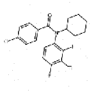 O=C(c1ccc(Cl)cc1)N(c1ccc(F)[c]([Ti])c1F)C1CCCCC1